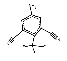 N#Cc1cc(N)cc(C#N)c1C(F)(F)F